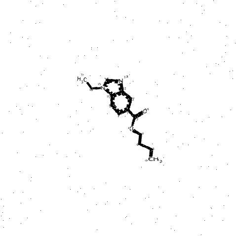 CCCCOC(=O)c1ccc2c(c1)ncn2CC